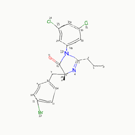 CCCC1=N[C@](C)(Cc2ccc(Br)cc2)C(=O)N1c1cc(Cl)cc(Cl)c1